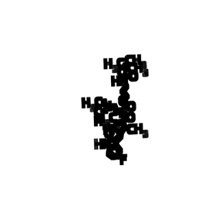 CCN(CC)CCN(C(=O)OCCCNC(=O)OC(C)(C)C)C(=O)C1=C(C)NC(/C=C2\C(=O)Nc3ccc(F)cc32)C1C